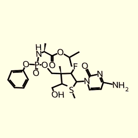 CSC(C(F)[C@@](C)(COP(=O)(N[C@@H](C)C(=O)OC(C)C)Oc1ccccc1)C(C)CO)n1ccc(N)nc1=O